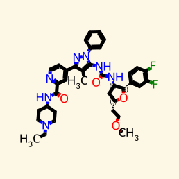 CCN1CCC(NC(=O)c2cc(-c3nn(-c4ccccc4)c(NC(=O)N[C@@H]4C[C@@H](CCOC)O[C@H]4c4ccc(F)c(F)c4)c3C)ccn2)CC1